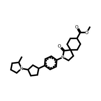 COC(=O)C1CCC2(CC1)CCN(c1ccc(C3CCC(N4CCCC4C)C3)cc1)C2=O